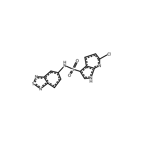 O=S(=O)(Nc1ccc2nsnc2c1)c1c[nH]c2nc(Cl)ccc12